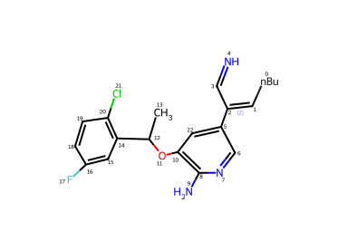 CCCC/C=C(\C=N)c1cnc(N)c(OC(C)c2cc(F)ccc2Cl)c1